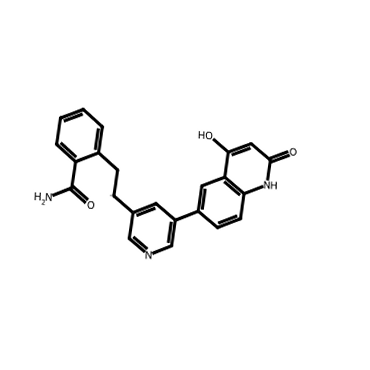 NC(=O)c1ccccc1C[CH]c1cncc(-c2ccc3[nH]c(=O)cc(O)c3c2)c1